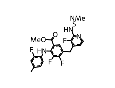 CNSNc1nccc(Cc2cc(C(=O)OC)c(Nc3ccc(C)cc3F)c(F)c2F)c1F